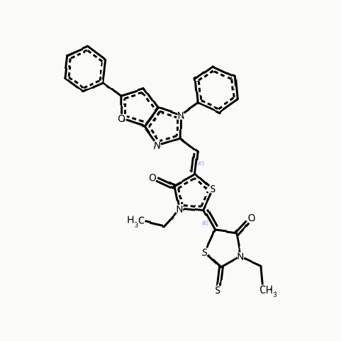 CCN1C(=O)/C(=c2\s/c(=C/c3nc4oc(-c5ccccc5)cc4n3-c3ccccc3)c(=O)n2CC)SC1=S